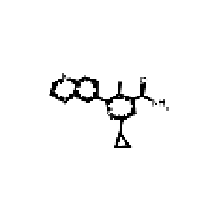 Cc1c(C(N)=O)cc(C2CC2)nc1-c1ccc2ncccc2c1